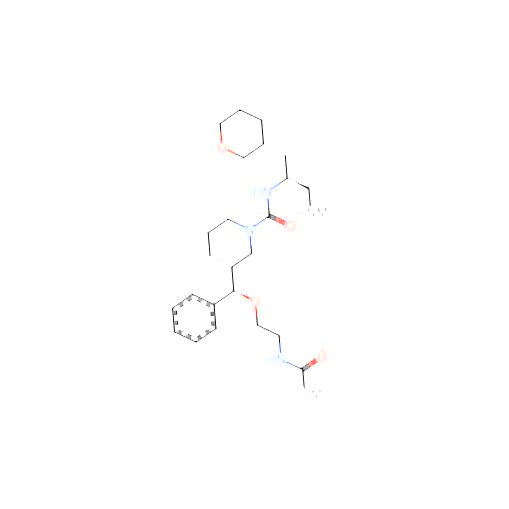 CNC[C@H](C[C@H]1CCCOC1)NC(=O)N1CCC[C@@H]([C@@H](OCCNC(=O)OC)c2ccccc2)C1